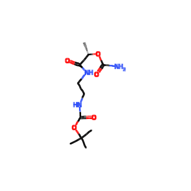 C[C@H](OC(N)=O)C(=O)NCCNC(=O)OC(C)(C)C